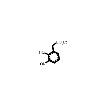 CCOC(=O)Cc1cccc(N=O)c1O